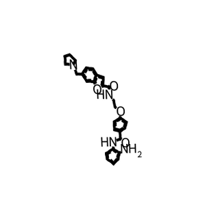 Nc1ccccc1NC(=O)c1ccc(OCCNC(=O)c2cc3ccc(CN4CCCC4)cc3o2)cc1